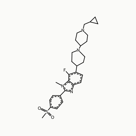 Cn1c(-c2ccc(S(C)(=O)=O)cc2)nc2ccc(C3CCN(C4CCN(CC5CC5)CC4)CC3)c(F)c21